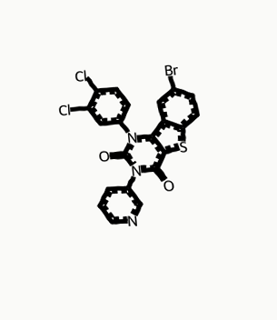 O=c1c2sc3ccc(Br)cc3c2n(-c2ccc(Cl)c(Cl)c2)c(=O)n1-c1cccnc1